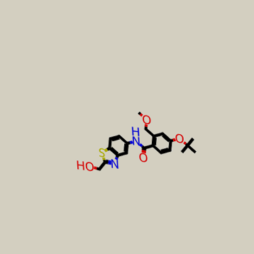 COCc1cc(OC(C)(C)C)ccc1C(=O)Nc1ccc2sc(CO)nc2c1